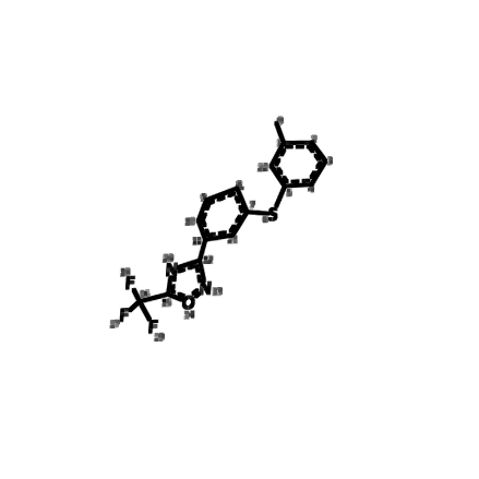 Cc1cccc(Sc2[c]ccc(-c3noc(C(F)(F)F)n3)c2)c1